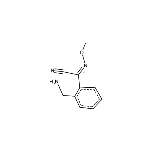 CO/N=C(\C#N)c1ccccc1CN